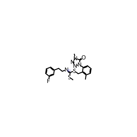 CS/C(=N\CCc1cccc(F)c1)SCc1c(C)cccc1-n1nnn(C)c1=O